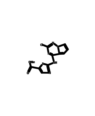 COC(=O)c1cnc(Nc2nc(Cl)nn3cccc23)s1